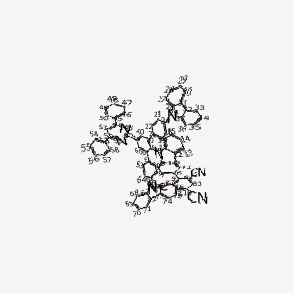 N#Cc1cc(C#N)c(-c2ccc3c(c2)c2ccccc2n3-c2c(-c3ccc(-n4c5ccccc5c5ccccc54)cc3)cc(-c3nc(-c4ccccc4)cc(-c4ccccc4)n3)cc2-c2ccc(-n3c4ccccc4c4ccccc43)cc2)c(C#N)c1